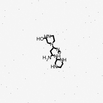 NC(CC(N=O)N1CCNC(O)C1)NC1CNCCN1